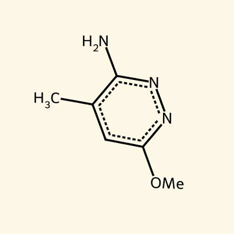 COc1cc(C)c(N)nn1